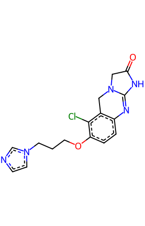 O=C1CN2Cc3c(ccc(OCCCn4ccnc4)c3Cl)N=C2N1